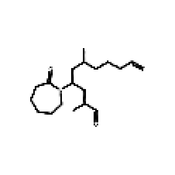 C=CCCCC(C)CC(CC(C)C=O)N1CCCCCC1=O